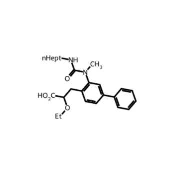 CCCCCCCNC(=O)N(C)c1cc(-c2ccccc2)ccc1CC(OCC)C(=O)O